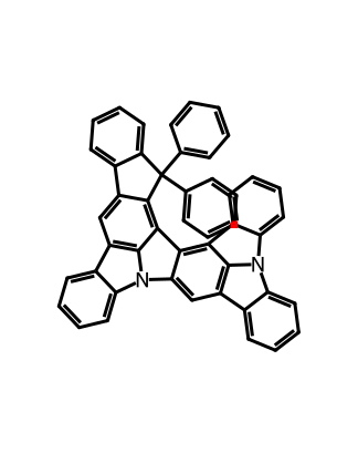 c1ccc(C2(c3ccccc3)c3ccccc3-c3cc4c5ccccc5n5c6cc7c8ccccc8n8c9ccccc9c(c6c(c32)c45)c78)cc1